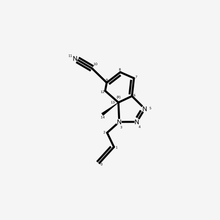 C=CCN1N=NC2=CC=C(C#N)C[C@]21C